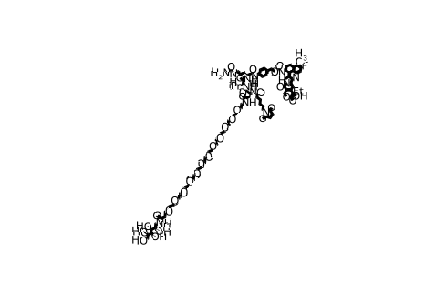 CC[C@@]1(O)C(=O)OCc2c1cc1n(c2=O)Cc2c-1nc1cc(F)c(C)c3c1c2[C@@H](NC(=O)OCc1ccc(NC(=O)[C@H](CCCNC(N)=O)NC(=O)[C@@H](NC(=O)[C@H](CC(=O)NCCOCCOCCOCCOCCOCCOCCOCCOCCOCCOCCOCCOCCC(=O)NC[C@H](O)[C@@H](O)[C@H](O)[C@H](O)CO)NC(=O)CCCCCN2C(=O)C=CC2=O)C(C)C)cc1)CC3